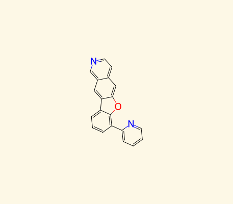 c1ccc(-c2cccc3c2oc2cc4ccncc4cc23)nc1